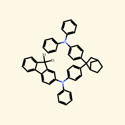 CCC1(CC)c2ccccc2-c2ccc(N(c3ccccc3)c3ccc(C4(c5ccc(N(c6ccccc6)c6ccccc6)cc5)CC5CCC4C5)cc3)cc21